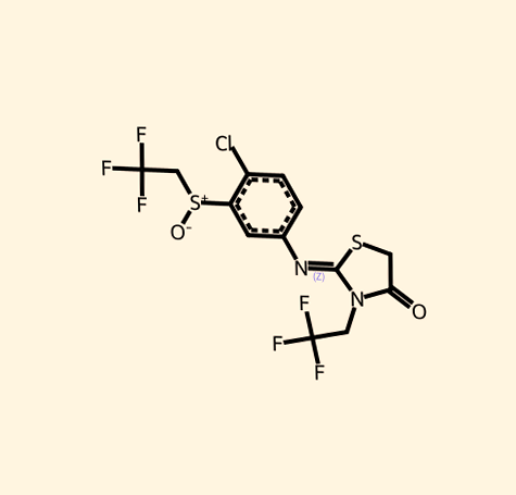 O=C1CS/C(=N\c2ccc(Cl)c([S+]([O-])CC(F)(F)F)c2)N1CC(F)(F)F